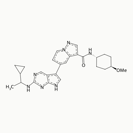 CO[C@H]1CC[C@H](NC(=O)c2cnn3ccc(-c4c[nH]c5nc(NC(C)C6CC6)ncc45)cc23)CC1